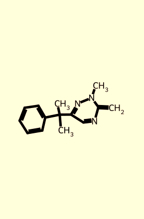 C=C1N=CC(C(C)(C)c2ccccc2)=NN1C